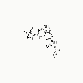 Cc1ncc(-c2cc3cc(NC(=O)[C@@H]4C[C@H]4C)ncc3c(N)n2)n1C